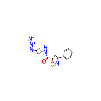 [N-]=[N+]=N[C@H]1C[C@@H](NC(=O)c2cc(-c3ccccc3)no2)C1